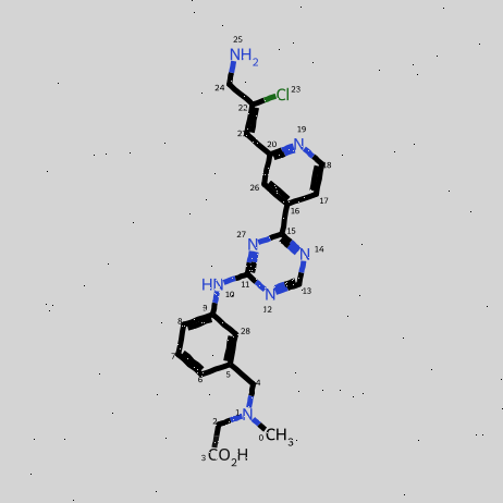 CN(CC(=O)O)Cc1cccc(Nc2ncnc(-c3ccnc(C=C(Cl)CN)c3)n2)c1